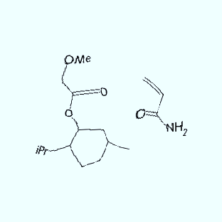 C=CC(N)=O.COCC(=O)OC1CC(C)CCC1C(C)C